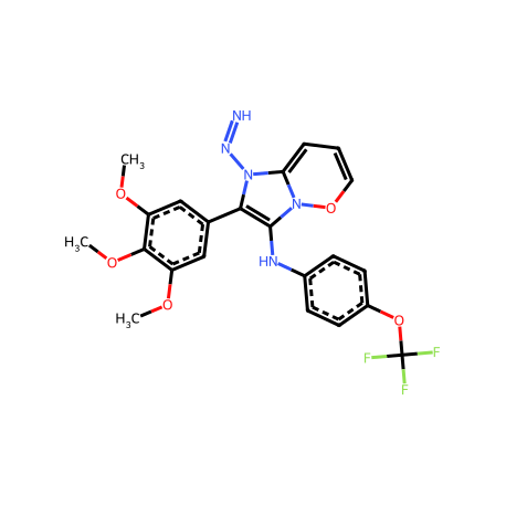 COc1cc(C2=C(Nc3ccc(OC(F)(F)F)cc3)N3OC=CC=C3N2N=N)cc(OC)c1OC